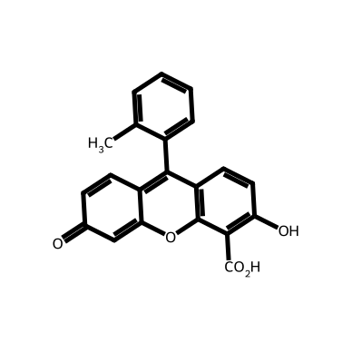 Cc1ccccc1-c1c2ccc(=O)cc-2oc2c(C(=O)O)c(O)ccc12